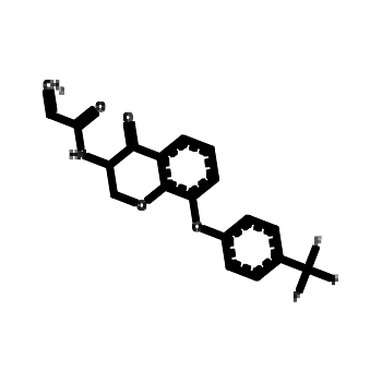 C=CC(=O)NC1COc2c(Oc3ccc(C(F)(F)F)cc3)cccc2C1=O